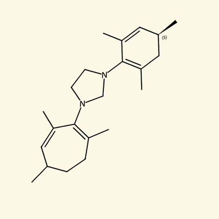 CC1=CC(C)CCC(C)=C1N1CCN(C2=C(C)C[C@H](C)C=C2C)C1